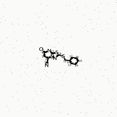 N#Cc1cc(=O)nc2sc(SCc3ccccc3)nn12